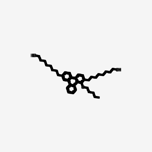 CCCCCOc1c(CCCCCCCCO)ccc2c3ccc(CCCCCCCCO)cc3c3ccccc3c12